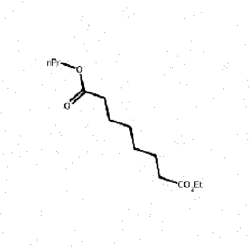 CCCOC(=O)CCCCCCC(=O)OCC